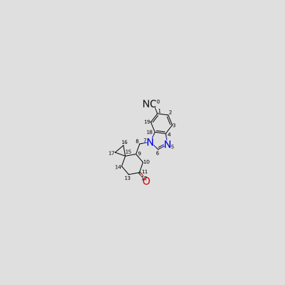 N#Cc1ccc2ncn(CC3CC(=O)CCC34CC4)c2c1